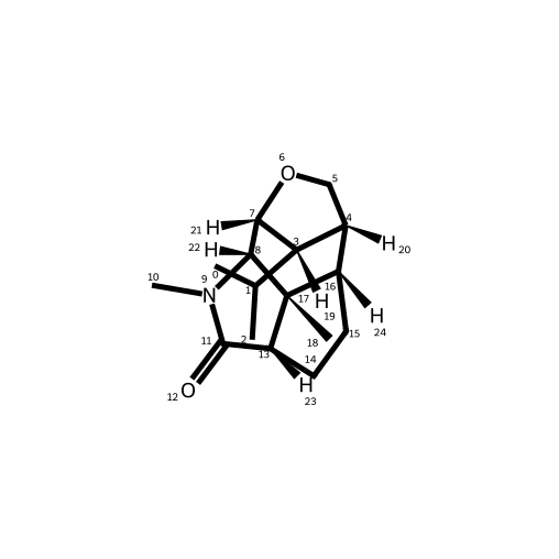 CC(C)[C@H]1[C@@H]2CO[C@H]1[C@H]1N(C)C(=O)[C@H]3CC[C@@H]2[C@]31C